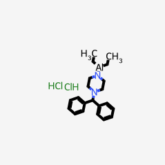 C[CH2][Al]([CH2]C)[N]1CCN(C(c2ccccc2)c2ccccc2)CC1.Cl.Cl